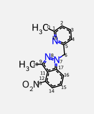 Cc1cccc(Cn2nc(C)c3c([N+](=O)[O-])cccc32)n1